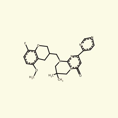 COc1ccc(F)c2c1CC(CN1CC(C)(C)Cn3c1nc(-c1ccncn1)cc3=O)CO2